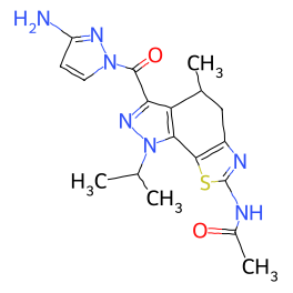 CC(=O)Nc1nc2c(s1)-c1c(c(C(=O)n3ccc(N)n3)nn1C(C)C)C(C)C2